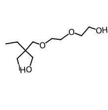 CCC(CO)(CI)COCCOCCO